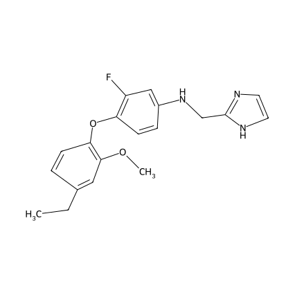 CCc1ccc(Oc2ccc(NCc3ncc[nH]3)cc2F)c(OC)c1